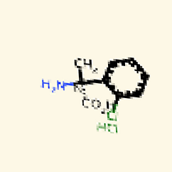 C[C@@](N)(C(=O)O)c1ccccc1Cl.Cl